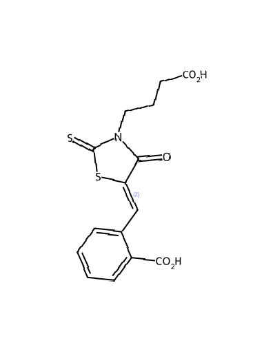 O=C(O)CCCN1C(=O)/C(=C/c2ccccc2C(=O)O)SC1=S